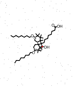 CCCCCCCCON1CCC(C)(C(CCCCCCCC(=O)O)(C(=O)O)C2(C)CCN(OCCCCCCCC)C(C)(C)C2(C)C)C(C)(C)C1(C)C